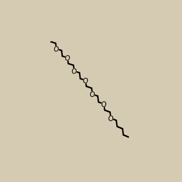 CCCCCOCCOCCOCCOCCOCCOCCOCC